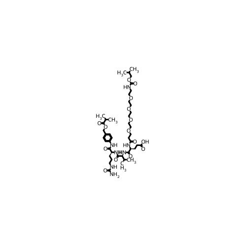 CC(C)COC(=O)NCCOCCOCCOCCOCCC(=O)N[C@@H](CCC(=O)O)C(=O)N[C@H](C(=O)N[C@@H](CCCNC(N)=O)C(=O)Nc1ccc(COC(=O)C(C)C)cc1)C(C)C